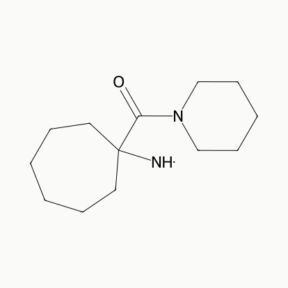 [NH]C1(C(=O)N2CCCCC2)CCCCCC1